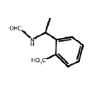 CC(N[C]=O)c1ccccc1C(=O)O